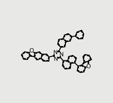 c1ccc(-c2ccc3ccc(-c4nc(-c5ccc6cc7c(cc6c5)oc5ccccc57)nc(-c5cccc6c(-c7cccc8oc9ccccc9c78)cccc56)n4)cc3c2)cc1